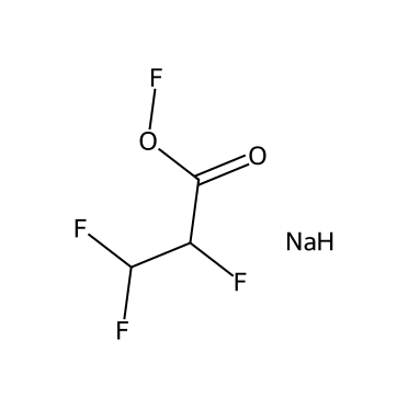 O=C(OF)C(F)C(F)F.[NaH]